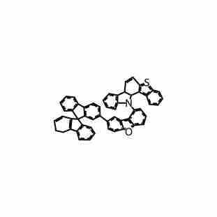 C1=CC2=C(CC1)c1ccccc1C21c2ccccc2-c2ccc(-c3ccc4oc5cccc(N6c7ccccc7C7C=Cc8sc9ccccc9c8C76)c5c4c3)cc21